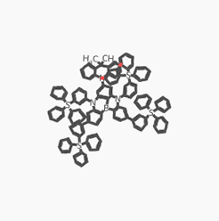 CC1(C)c2ccccc2N(c2cc3c4c(c2)N(c2cccc(S(c5ccccc5)(c5ccccc5)c5ccccc5)c2)c2cc(-c5cccc(S(c6ccccc6)(c6ccccc6)c6ccccc6)c5)ccc2B4c2ccc(-c4cccc(S(c5ccccc5)(c5ccccc5)c5ccccc5)c4)cc2N3c2cccc(S(c3ccccc3)(c3ccccc3)c3ccccc3)c2)c2ccccc21